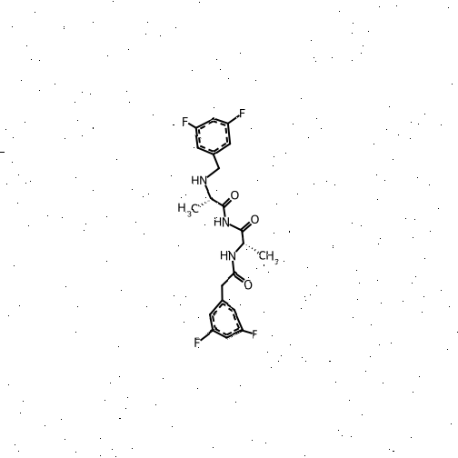 C[C@H](NCc1cc(F)cc(F)c1)C(=O)NC(=O)[C@H](C)NC(=O)Cc1cc(F)cc(F)c1